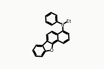 CCN(c1ccccc1)c1cccc2c1ccc1c3ccccc3oc21